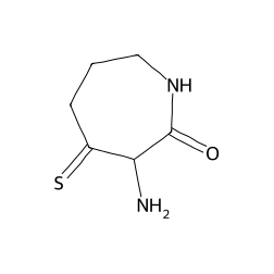 NC1C(=O)NCCCC1=S